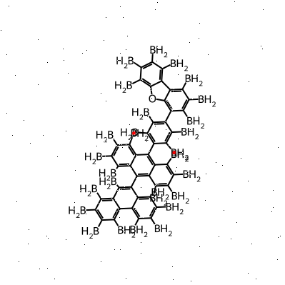 Bc1c(B)c(-c2c3c(B)c(B)c(B)c(B)c3c(-c3c(B)c4c(B)c(B)c(B)c(B)c4c4c(B)c(B)c(B)c(B)c34)c3c(B)c(B)c(B)c(B)c23)c(B)c(B)c1-c1c(B)c(B)c(B)c2c1oc1c(B)c(B)c(B)c(B)c12